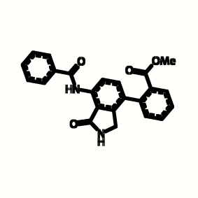 COC(=O)c1ccccc1-c1ccc(NC(=O)c2ccccc2)c2c1CNC2=O